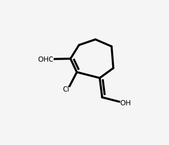 O=CC1=C(Cl)/C(=C/O)CCCC1